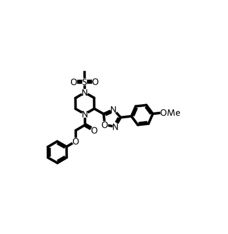 COc1ccc(-c2noc(C3CN(S(C)(=O)=O)CCN3C(=O)COc3ccccc3)n2)cc1